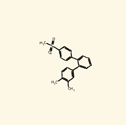 Cc1ccc(-c2ccccc2-c2ccc(S(C)(=O)=O)cc2)cc1C